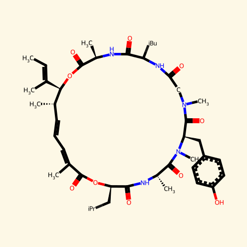 C/C=C(\C)[C@H]1OC(=O)[C@@H](C)NC(=O)C(C(C)CC)NC(=O)CN(C)C(=O)[C@@H](Cc2ccc(O)cc2)N(C)C(=O)[C@H](C)NC(=O)[C@@H](CC(C)C)OC(=O)/C(C)=C/C=C/[C@@H]1C